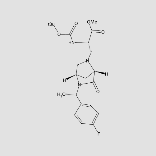 COC(=O)[C@H](CN1C[C@@H]2C[C@H]1C(=O)N2[C@@H](C)c1ccc(F)cc1)NC(=O)OC(C)(C)C